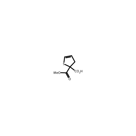 COC(=O)C1(C(=O)O)CC=CS1